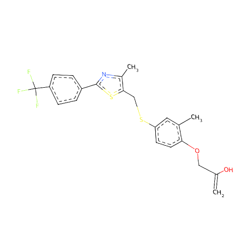 C=C(O)COc1ccc(SCc2sc(-c3ccc(C(F)(F)F)cc3)nc2C)cc1C